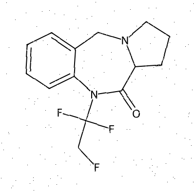 O=C1C2CCCN2Cc2ccccc2N1C(F)(F)CF